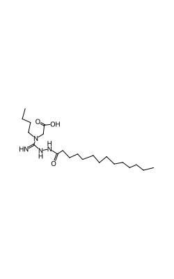 CCCCCCCCCCCCCC(=O)NNC(=N)N(CCCC)CC(=O)O